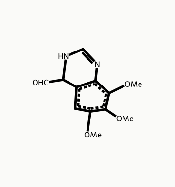 COc1cc2c(c(OC)c1OC)N=CNC2C=O